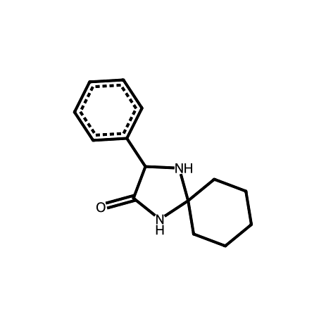 O=C1NC2(CCCCC2)NC1c1ccccc1